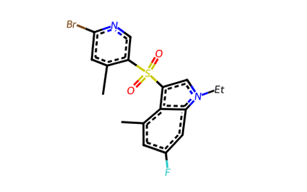 CCn1cc(S(=O)(=O)c2cnc(Br)cc2C)c2c(C)cc(F)cc21